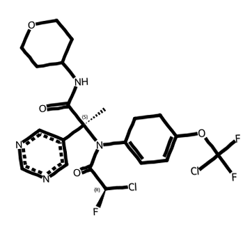 C[C@@](C(=O)NC1CCOCC1)(c1cncnc1)N(C(=O)[C@H](F)Cl)C1=CC=C(OC(F)(F)Cl)CC1